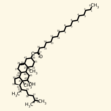 CCCCCCCCCCCCCCCCCC(=O)OC1CC[C@@]2(C)C(=CCC3C4CC[C@H]([C@H](C)CCCC(C)C)[C@@]4(C)C(O)CC32)C1